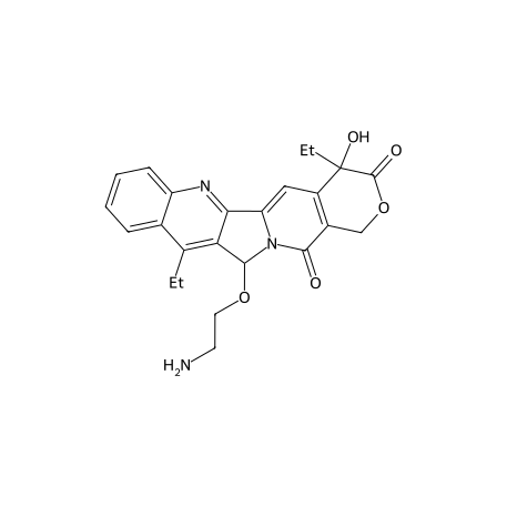 CCc1c2c(nc3ccccc13)-c1cc3c(c(=O)n1C2OCCN)COC(=O)C3(O)CC